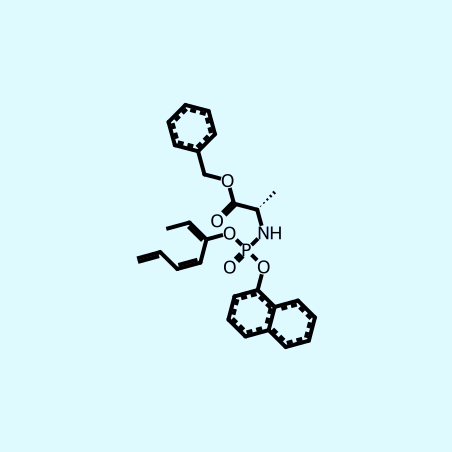 C=C/C=C\C(=C/C)OP(=O)(N[C@@H](C)C(=O)OCc1ccccc1)Oc1cccc2ccccc12